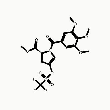 COC(=O)[C@@H]1CC(OS(=O)(=O)C(F)(F)F)=CN1C(=O)c1cc(OC)c(OC)c(OC)c1